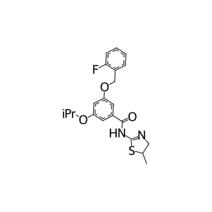 CC(C)Oc1cc(OCc2ccccc2F)cc(C(=O)NC2=NCC(C)S2)c1